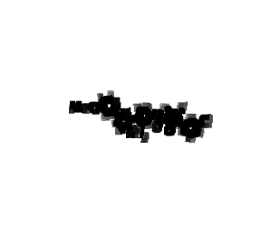 COc1ccnc(-c2cnc(N)c(-c3ccc(NC(=O)c4c(C)n(C)n(-c5cccc(Cl)c5)c4=O)cc3)n2)c1